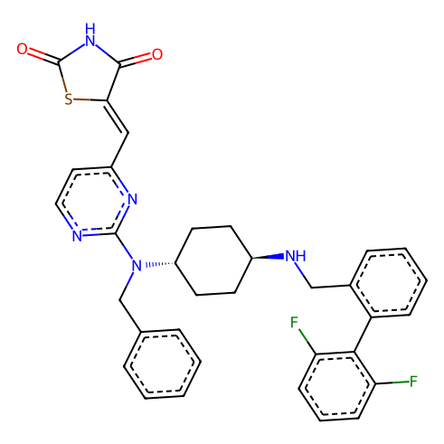 O=C1NC(=O)/C(=C/c2ccnc(N(Cc3ccccc3)[C@H]3CC[C@H](NCc4ccccc4-c4c(F)cccc4F)CC3)n2)S1